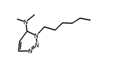 CCCCCCN1N=NC=CC1N(C)C